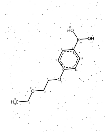 CCOCCOc1ccc(B(O)O)cc1